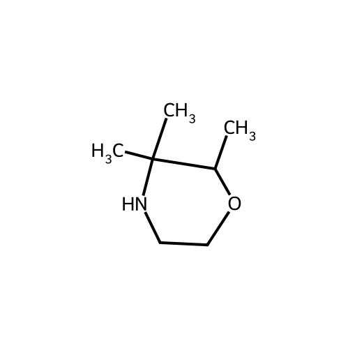 CC1OCCNC1(C)C